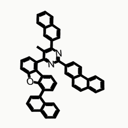 Cc1c(-c2ccc3ccccc3c2)nc(-c2ccc3c(ccc4ccccc43)c2)nc1-c1cccc2oc3c(-c4cccc5ccccc45)cccc3c12